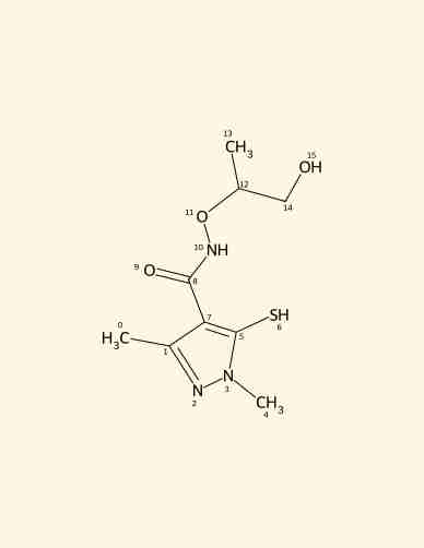 Cc1nn(C)c(S)c1C(=O)NOC(C)CO